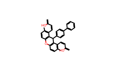 C=C(O)/C=C\c1c(C)ccc2c1C(c1ccc(-c3ccccc3)cc1)c1c(ccc(C)c1/C=C\C(=C)O)O2